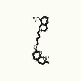 C=C1C=Cc2ccc(OCCCCN3CCc4cccc(C(F)(F)F)c4C3)nc2N1